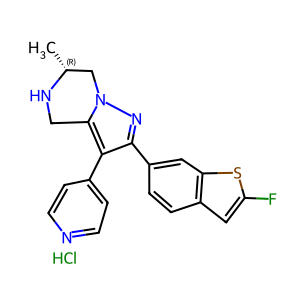 C[C@@H]1Cn2nc(-c3ccc4cc(F)sc4c3)c(-c3ccncc3)c2CN1.Cl